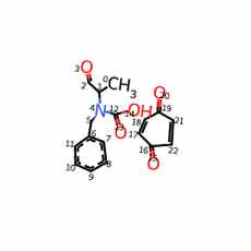 CC(C=O)N(Cc1ccccc1)C(=O)O.O=C1C=CC(=O)C=C1